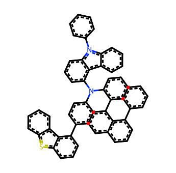 c1ccc(-c2cccc3cccc(-c4ccccc4N(c4ccc(-c5cccc6sc7ccccc7c56)cc4)c4cccc5c4c4ccccc4n5-c4ccccc4)c23)cc1